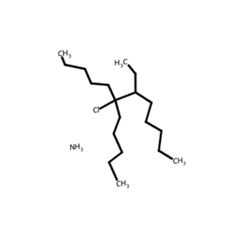 CCCCCC(CC)C(Cl)(CCCCC)CCCCC.N